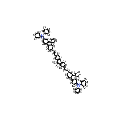 CCC1(CC)c2cc(/C=C/c3ccc4c(c3)C(C)(C)c3cc(/C=C/C5=CC=C6c7ccc(N(c8ccccc8)c8ccccc8)cc7C(CC)(CC)C6C5)ccc3-4)ccc2-c2ccc(N(c3ccccc3)c3ccccc3)cc21